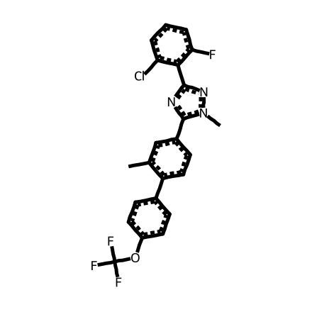 Cc1cc(-c2nc(-c3c(F)cccc3Cl)nn2C)ccc1-c1ccc(OC(F)(F)F)cc1